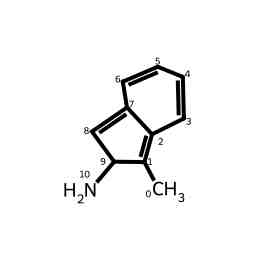 CC1=c2ccccc2=CC1N